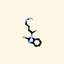 CC/C(=C\C/C=N\C)n1c(CC)nc2ccccc21